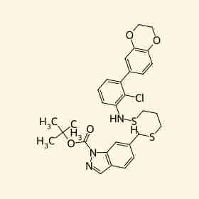 CC(C)(C)OC(=O)n1ncc2ccc(C3SCCC[SH]3Nc3cccc(-c4ccc5c(c4)OCCO5)c3Cl)cc21